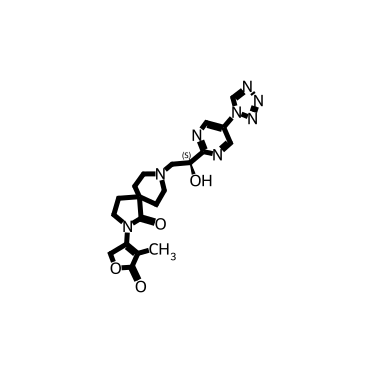 CC1=C(N2CCC3(CCN(C[C@H](O)c4ncc(-n5cnnn5)cn4)CC3)C2=O)COC1=O